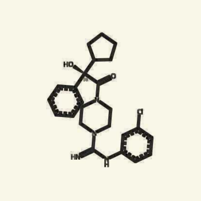 N=C(Nc1cccc(Cl)c1)N1CCN(C(=O)[C@](O)(c2ccccc2)C2CCCC2)CC1